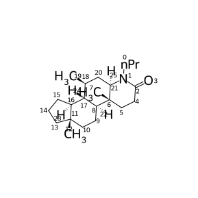 CCCN1C(=O)CC[C@]2(C)[C@H]3CC[C@]4(C)CCC[C@H]4[C@@H]3[C@@H](C)C[C@@H]12